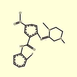 CN1CCN(C)/C(=N\c2ccc([N+](=O)[O-])cc2C(=O)Nc2ccccc2F)C1